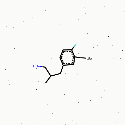 CC(CN)Cc1ccc(F)c(C(C)(C)C)c1